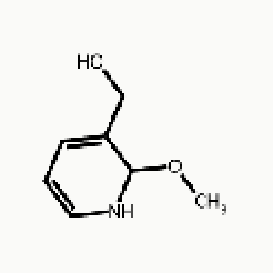 CO[C]1NC=CC=C1CO